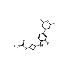 CC1CN(c2ccc(NC3CC(OC(N)=O)C3)c(F)c2)CC(C)O1